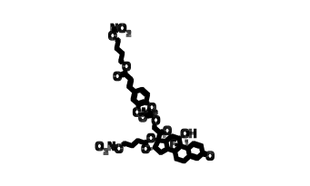 COc1cc(/C=C/C(=O)OCCCCO[N+](=O)[O-])ccc1OC(=O)OCC(=O)[C@@]1(OC(=O)CCCO[N+](=O)[O-])[C@@H](C)CC2C3CCC4=CC(=O)C=C[C@]4(C)[C@@]3(F)[C@@H](O)C[C@@]21C